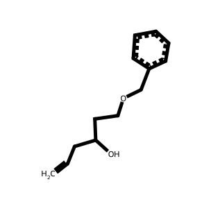 C=CCC(O)CCOCc1ccccc1